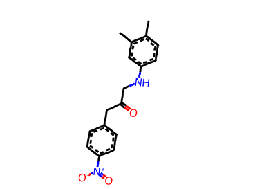 Cc1ccc(NCC(=O)Cc2ccc([N+](=O)[O-])cc2)cc1C